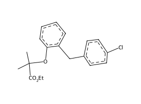 CCOC(=O)C(C)(C)Oc1ccccc1Cc1ccc(Cl)cc1